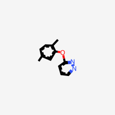 Cc1ccc(C)c(Oc2cccnn2)c1